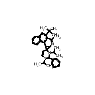 CC1=NC2C(c3c1c(C(C)(C)C)cc1ccccc31)C21C=CN(C(C)C)C(c2ccccc2)N1C(C)C